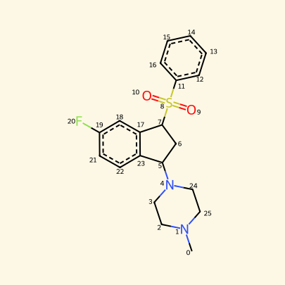 CN1CCN(C2CC(S(=O)(=O)c3ccccc3)c3cc(F)ccc32)CC1